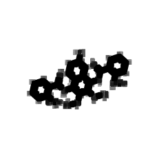 CCOc1c(OCC)c(OC(=O)c2ccccc2OC)c2cc(Cl)ccc2c1OC(=O)c1ccccc1OC